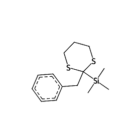 C[Si](C)(C)C1(Cc2ccccc2)SCCCS1